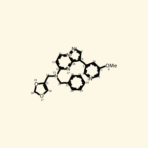 COc1cncc(-c2cnn3ccc(N(CC4=COCO4)Cc4ccccc4)nc23)c1